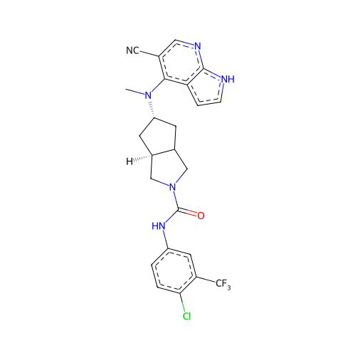 CN(c1c(C#N)cnc2[nH]ccc12)[C@@H]1CC2CN(C(=O)Nc3ccc(Cl)c(C(F)(F)F)c3)C[C@H]2C1